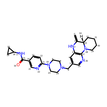 C=C1Nc2cc(CN3CCN(c4ccc(C(=O)NC5CC5)cn4)CC3)cnc2N2CCCC[C@@H]12